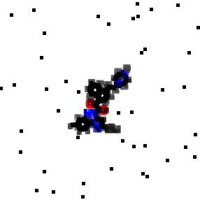 Cc1ccc(-n2nc(C(C)(C)C)cc2NC(=O)C(=O)c2ccc(CCN3CCN(C)CC3)c3ccccc23)cc1